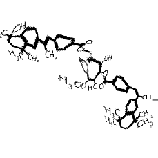 CO[C@H]1O[C@H](COC(=O)c2ccc(C=C(C)c3ccc4c(c3)C(C)(C)CCC4(C)C)cc2)[C@@H](O)[C@H](OC(=O)c2ccc(C=C(C)c3ccc4c(c3)C(C)(C)CCC4(C)C)cc2)[C@H]1O